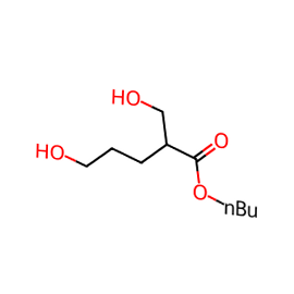 CCCCOC(=O)C(CO)CCCO